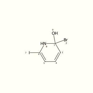 OC1(Br)C=CC=C(I)N1